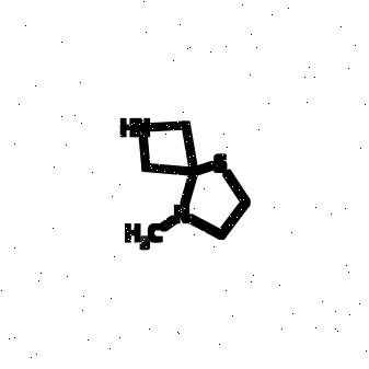 CN1CCSC12CNC2